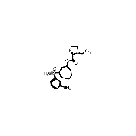 CCn1ccnc1C(=O)NC1CCCCC([SH](C)(=O)C2=CC=CC(N)C2)C1